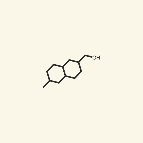 CC1CCC2CC(CO)CCC2C1